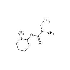 CCN(C)C(=O)O[C]1CCCCN1C